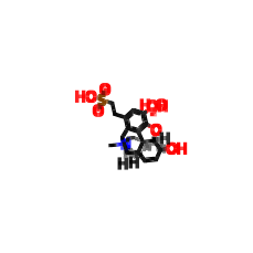 CN1CC[C@]23c4c5c(CCS(=O)(=O)O)cc(O)c4O[C@H]2[C@@H](O)C=C[C@H]3[C@H]1C5.O